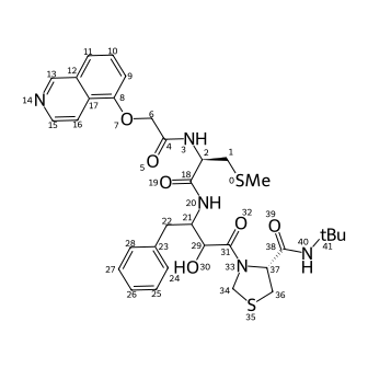 CSC[C@H](NC(=O)COc1cccc2cnccc12)C(=O)NC(Cc1ccccc1)C(O)C(=O)N1CSC[C@H]1C(=O)NC(C)(C)C